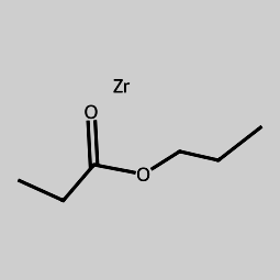 CCCOC(=O)CC.[Zr]